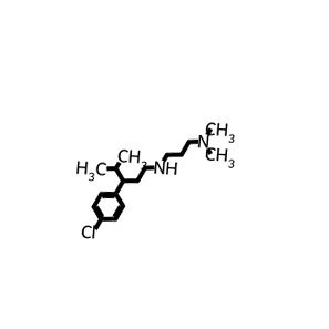 CC(C)C(CCNCCCN(C)C)c1ccc(Cl)cc1